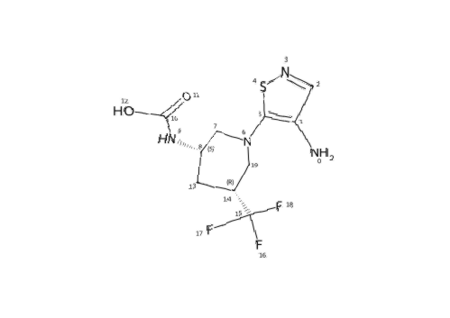 Nc1cnsc1N1C[C@@H](NC(=O)O)C[C@@H](C(F)(F)F)C1